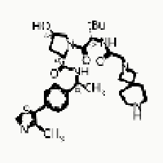 Cc1ncsc1-c1ccc([C@H](C)NC(=O)[C@@H]2C[C@@H](O)CN2C(=O)[C@@H](NC(=O)CN2CC3(CCNCC3)C2)C(C)(C)C)cc1